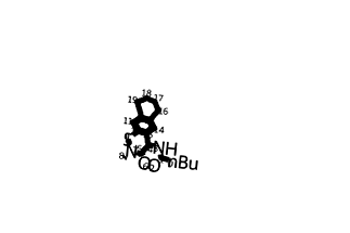 CCCCC(=O)NC1C(=O)N(C)Sc2cc3c(cc21)CCCC3